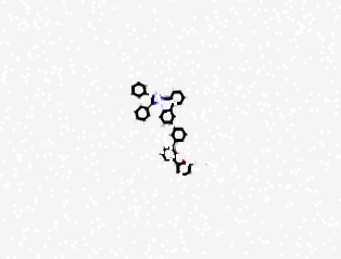 CC(C)(C)c1cccc2c1oc1c(-c3cccc(-c4ccc5c(c4)c4ccccc4c4nc(-c6ccccc6)c(-c6ccccc6)n54)c3)cccc12